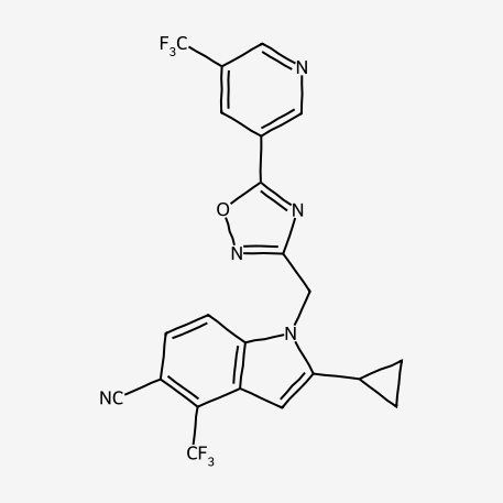 N#Cc1ccc2c(cc(C3CC3)n2Cc2noc(-c3cncc(C(F)(F)F)c3)n2)c1C(F)(F)F